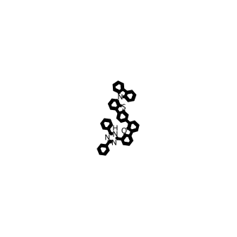 c1ccc(C2=NC(c3cccc4c3oc3c(-c5ccc6c(c5)sc5c(-n7c8ccccc8c8ccccc87)cccc56)cccc34)NC(c3ccccc3)=N2)cc1